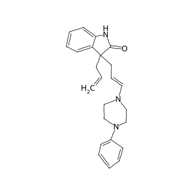 C=CCC1(CC=CN2CCN(c3ccccc3)CC2)C(=O)Nc2ccccc21